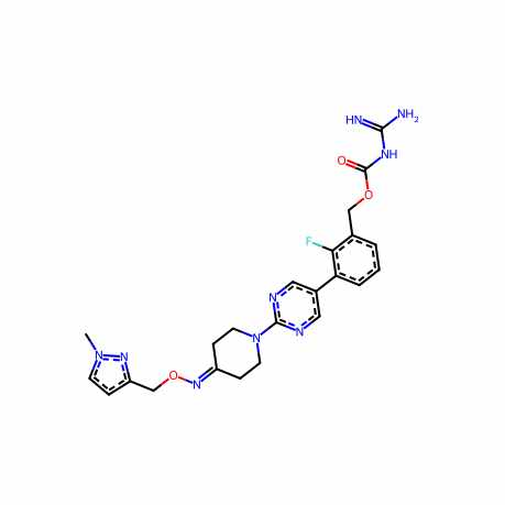 Cn1ccc(CON=C2CCN(c3ncc(-c4cccc(COC(=O)NC(=N)N)c4F)cn3)CC2)n1